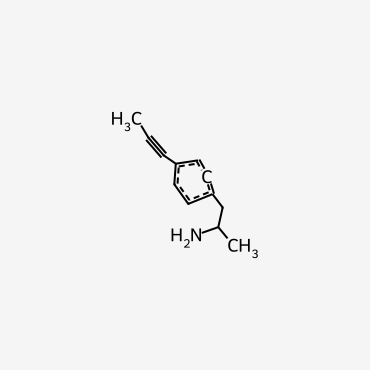 CC#Cc1ccc(CC(C)N)cc1